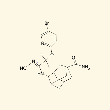 CC(C)(Oc1ccc(Br)cn1)/C(=N/C#N)NC1C2CC3CC1CC(C(N)=O)(C3)C2